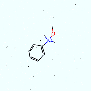 CO[N+](C)(C)c1ccccc1